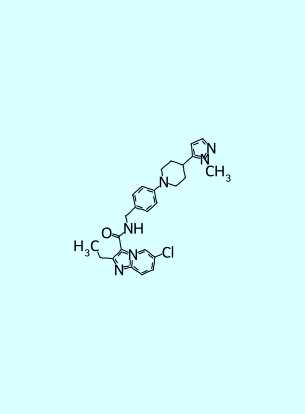 CCc1nc2ccc(Cl)cn2c1C(=O)NCc1ccc(N2CCC(c3ccnn3C)CC2)cc1